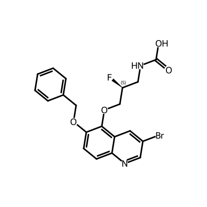 O=C(O)NC[C@H](F)COc1c(OCc2ccccc2)ccc2ncc(Br)cc12